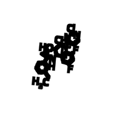 CCc1cccc(C2(NC(c3cc(F)cc(F)c3)C(O)C(C)Nc3ccnc(Cl)n3)CC2)c1